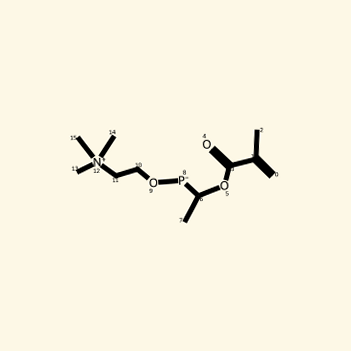 C=C(C)C(=O)OC(C)[P-]OCC[N+](C)(C)C